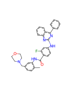 Cc1ccc(CN2CCOCC2)cc1NC(=O)c1ccc(Nc2nc(-c3ccccc3)c3ccccc3n2)cc1F